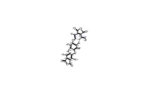 O=C1OC(=O)C(C(/F)=C/Oc2c(F)c(F)c(Oc3c(F)c(F)c4c(c3F)C(=O)OC4=O)c(F)c2F)=C1/C(F)=C/F